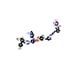 CC1(C)CCC(CN2CCN(c3ccc(C(=O)NS(=O)(=O)c4ccc(NCC5CCCN(CCCCCc6cccc7c6CN(C6CCC(=O)NC6=O)C7=O)C5)c(N=O)c4)c(Oc4cnc5[nH]ccc5c4)c3)CC2)=C(c2ccc(Cl)cc2)C1